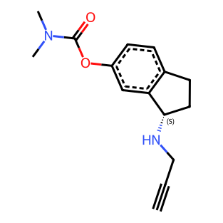 C#CCN[C@H]1CCc2ccc(OC(=O)N(C)C)cc21